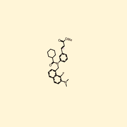 COC(=O)/C=C/c1cccc(N(Cc2cccc3ccc(N(C)C)c(F)c23)C(=O)C2CCCCC2)c1